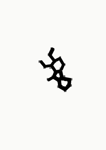 C=CC1CCn2c(c(C)c3ccccc32)C1CC